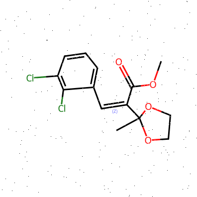 COC(=O)/C(=C\c1cccc(Cl)c1Cl)C1(C)OCCO1